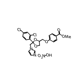 COC(=O)c1ccc(OCC2COC(Cn3ccnc3)(c3ccc(Cl)cc3Cl)O2)cc1.O=[N+]([O-])O